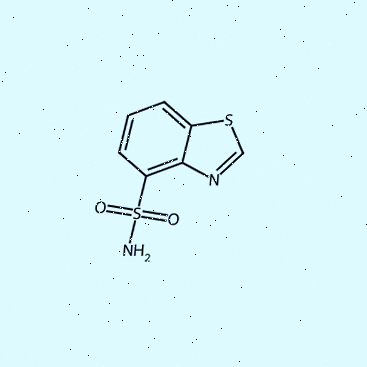 NS(=O)(=O)c1cccc2scnc12